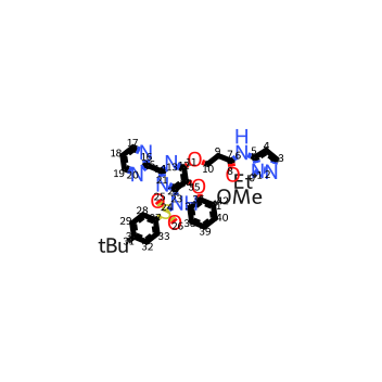 CCn1nccc1NC(=O)CCOc1nc(-c2ncccn2)nc(NS(=O)(=O)c2ccc(C(C)(C)C)cc2)c1Oc1ccccc1OC